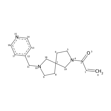 C=CC(=O)N1CCC2(CCN(Cc3ccncc3)C2)C1